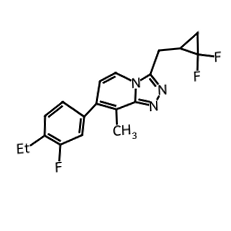 CCc1ccc(-c2ccn3c(CC4CC4(F)F)nnc3c2C)cc1F